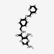 Nc1cnc(C(=O)NCc2ccc(OCc3ccccn3)cc2)c(N)n1